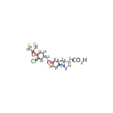 O=C(O)CC1CCn2c1cc1cc(OCc3ccc(OC(CF)CF)c(Cl)c3)ccc12